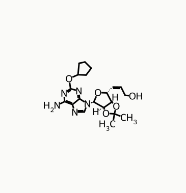 CC1(C)O[C@@H]2[C@H](O1)[C@@H](/C=C\CO)O[C@H]2n1cnc2c(N)nc(OC3CCCC3)nc21